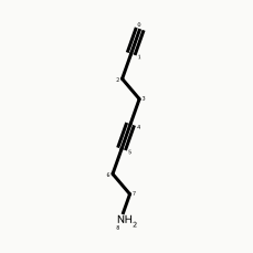 C#CCCC#CCCN